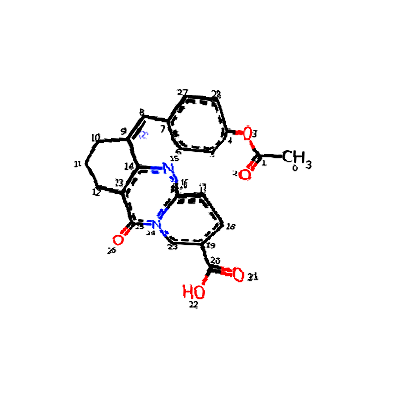 CC(=O)Oc1ccc(/C=C2/CCCc3c2nc2ccc(C(=O)O)cn2c3=O)cc1